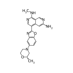 CNc1ncc(-c2nc3cc(N4CCO[C@H](C)C4)ccc3o2)c2cc(N)ncc12